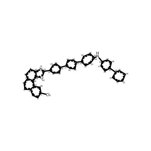 Clc1ccc2ccc3ccc4nc(-c5ccc(-c6ccc(-c7ccc(Nc8ccc(-c9ccccc9)cc8)cc7)cc6)cc5)oc4c3c2c1